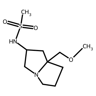 COCC12CCCN1CC(NS(C)(=O)=O)C2